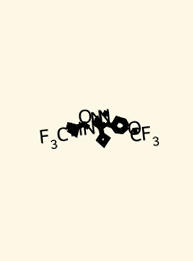 Cn1nc(NC(=O)C2CC(C(F)(F)F)C2)c(C2CCC2)c1-c1ccc(OC(F)(F)F)cc1